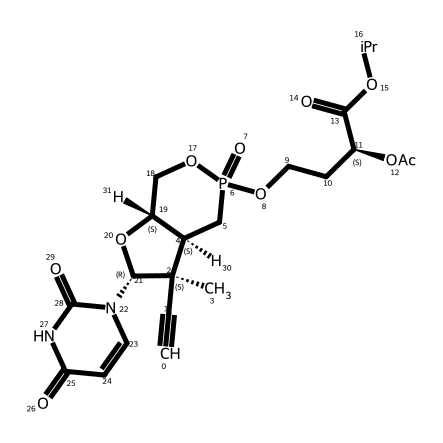 C#C[C@]1(C)[C@@H]2CP(=O)(OCC[C@H](OC(C)=O)C(=O)OC(C)C)OC[C@H]2O[C@H]1n1ccc(=O)[nH]c1=O